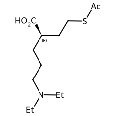 CCN(CC)CCC[C@H](CCSC(C)=O)C(=O)O